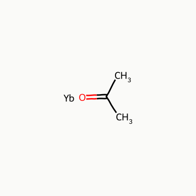 CC(C)=O.[Yb]